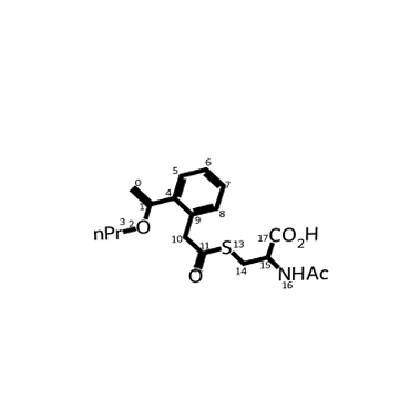 C=C(OCCC)c1ccccc1CC(=O)SCC(NC(C)=O)C(=O)O